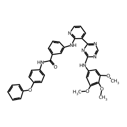 COc1cc(Nc2ncnc(-c3cccnc3Nc3cccc(C(=O)Nc4ccc(Oc5ccccc5)cc4)c3)n2)cc(OC)c1OC